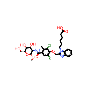 CO[C@H]1O[C@H](CO)[C@@H](O)[C@H](O)[C@H]1NC(=O)c1cc(Cl)c(OCc2nc3ccccc3n2CCCCCC(=O)O)c(Cl)c1C